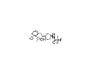 COc1cccc(CC(O)C2CCN(NC(=O)C(F)(F)F)CC2)c1OC